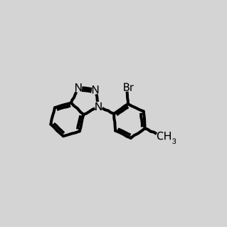 Cc1ccc(-n2nnc3ccccc32)c(Br)c1